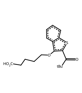 CC(C)(C)C(=O)c1sc2ccccc2c1OCCCCC(=O)O